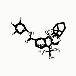 CC(C)(O)C(O)c1cnc(C2(O)C3CCC2CC(S(=O)(=O)c2cc(C(=O)Nc4cc(F)c(F)c(F)c4)ccc2Cl)C3)[nH]1